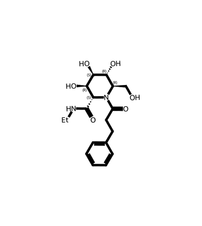 CCNC(=O)[C@@H]1[C@@H](O)[C@@H](O)[C@H](O)[C@@H](CO)N1C(=O)CCc1ccccc1